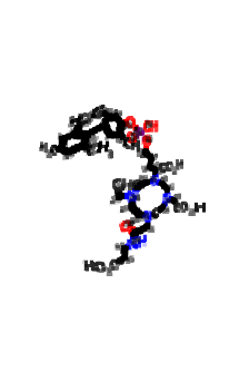 Cc1cc(C)c(-c2cc(C)c(OP(=O)(O)OCCC[C@H](C(=O)O)N3CCN(CC=O)CCN(CC(=O)NCCC(=O)O)CCN(CC(=O)O)CC3)cc2C)c(C)c1